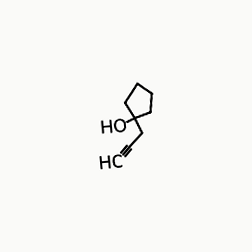 C#CCC1(O)CCCC1